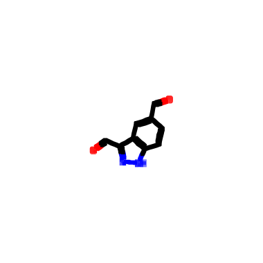 O=Cc1ccc2[nH]nc(C=O)c2c1